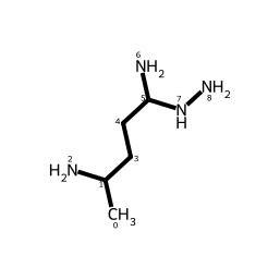 CC(N)CCC(N)NN